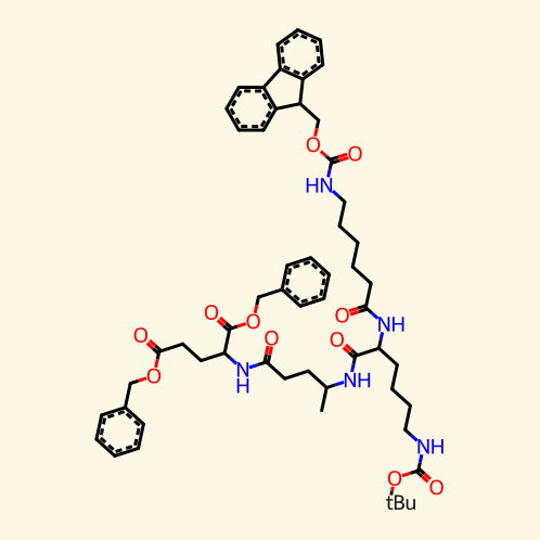 CC(CCC(=O)NC(CCC(=O)OCc1ccccc1)C(=O)OCc1ccccc1)NC(=O)C(CCCCNC(=O)OC(C)(C)C)NC(=O)CCCCCNC(=O)OCC1c2ccccc2-c2ccccc21